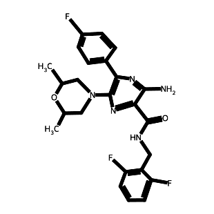 CC1CN(c2nc(C(=O)NCc3c(F)cccc3F)c(N)nc2-c2ccc(F)cc2)CC(C)O1